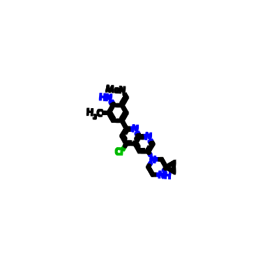 CN/C=C1/C=C(c2cc(Cl)c3cc(N4CCNC5(CC5)C4)cnc3n2)C=C(C)C1=N